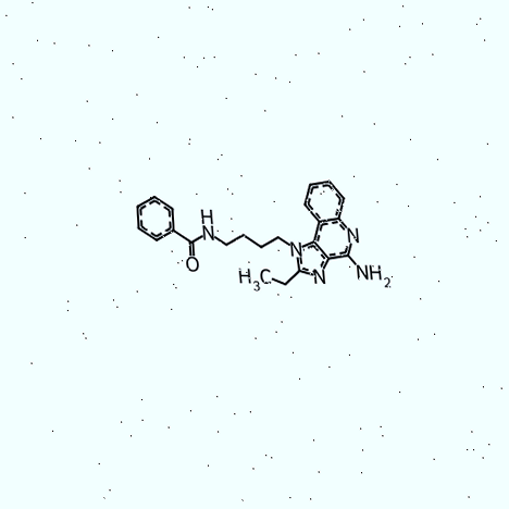 CCc1nc2c(N)nc3ccccc3c2n1CCCCNC(=O)c1ccccc1